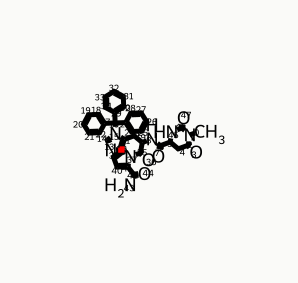 CN1C(=O)CC(C(=O)NC(Cc2cncn2C(c2ccccc2)(c2ccccc2)c2ccccc2)C(=O)n2cccc2C(N)=O)NC1=O